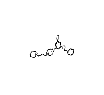 Clc1cc(OCc2ccccc2)cc(N2CCN(CCCN3CCCCC3)CC2)c1